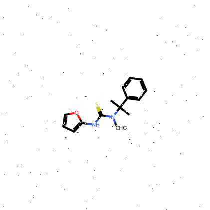 CC(C)(c1ccccc1)N(C=O)C(=S)Nc1ccco1